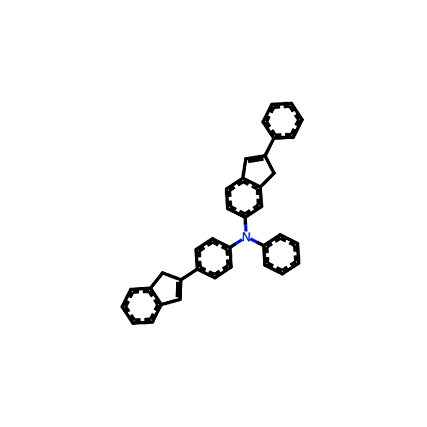 C1=C(c2ccc(N(c3ccccc3)c3ccc4c(c3)CC(c3ccccc3)=C4)cc2)Cc2ccccc21